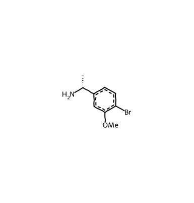 COc1cc([C@@H](C)N)ccc1Br